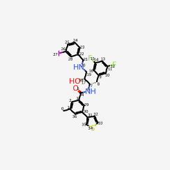 Cc1cc(C(=O)N[C@@H](Cc2cc(F)cc(F)c2)[C@H](O)CNCc2cccc(I)c2)cc(-c2ccsc2)c1